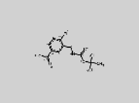 CC(C)(C)OC(=O)NCc1cc([N+](=O)[O-])ccc1Cl